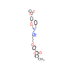 Cc1ccc2oc(-c3ccc(OCCCCc4cn(CCN(CCOc5ccc(-c6cc(=O)c7ccccc7o6)cc5)Cc5ccccc5)nn4)cc3)cc(=O)c2c1